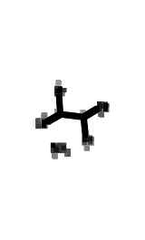 CCC(Br)C(CC)CC.N